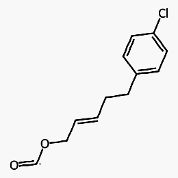 O=[C]OC/C=C/CCc1ccc(Cl)cc1